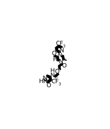 C[C@@H]1CN2c3ncc(C(F)(F)F)cc3OC[C@H]2CN1C(=O)CCOC[C@H](C)Nc1cn[nH]c(=O)c1C(F)(F)F